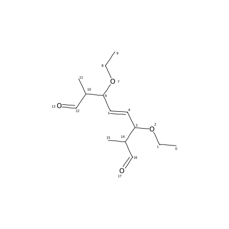 CCOC(C=CC(OCC)C(C)C=O)C(C)C=O